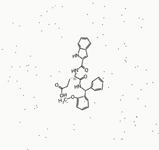 COc1ccccc1C(NC(=O)[C@H](CCC(=O)O)NC(=O)c1cc2ccccc2[nH]1)c1ccccc1